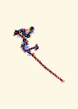 COCCOCCOCCOCCOCCOCCOCCOCCOCCOCCOCCOCC(=O)NCCCC[C@H](NC(=O)CCCCCN1C(=O)C=CC1=O)C(=O)N[C@@H](C)C(=O)N[C@H](C(=O)N[C@@H](C)C(=O)Nc1ccc(COC(=O)NCCOC23CC4(C)CC(C)(CC(Cn5ncc(-c6ccc(N7CCc8cccc(C(=O)Nc9nc%10ccccc%10s9)c8C7)nc6C(=O)O)c5C)(C4)C2)C3)cc1)C(C)C